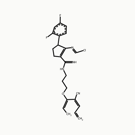 C=C/C=C(C#N)\C(=C/C)OCCCNC(=N)C1=C(/N=C/Cl)C(c2ccc(F)cc2F)CC1